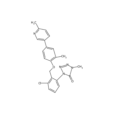 Cc1ccc(-c2ccc(OCc3c(Cl)cccc3-n3nnn(C)c3=O)c(C)c2)cn1